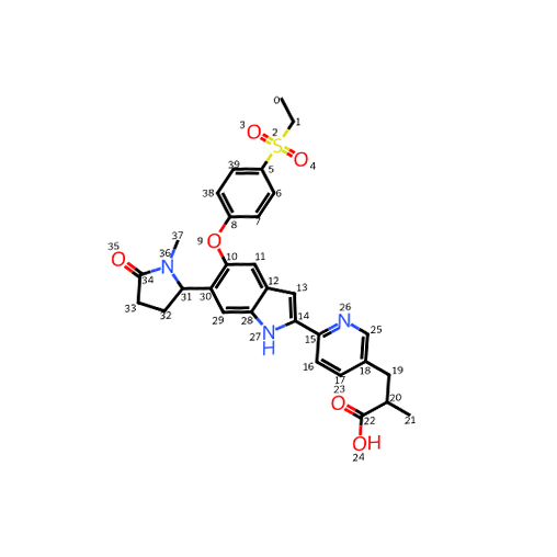 CCS(=O)(=O)c1ccc(Oc2cc3cc(-c4ccc(CC(C)C(=O)O)cn4)[nH]c3cc2C2CCC(=O)N2C)cc1